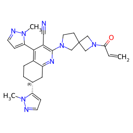 C=CC(=O)N1CC2(CCN(c3nc4c(c(-c5ccnn5C)c3C#N)CC[C@@H](c3ccnn3C)C4)C2)C1